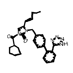 CCC=Cc1cn(C(=O)C2CCCCC2)c(=O)n1Cc1ccc(-c2ccccc2-c2nnn[nH]2)cc1